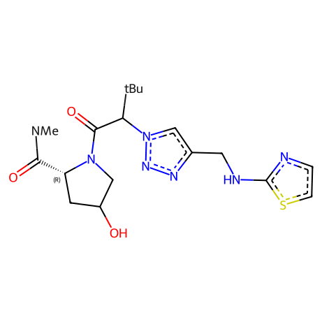 CNC(=O)[C@H]1CC(O)CN1C(=O)C(n1cc(CNc2nccs2)nn1)C(C)(C)C